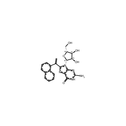 C=C(c1cccc2ccccc12)c1nc2c(=O)[nH]c(N)nc2n1[C@@H]1O[C@H](CO)[C@@H](O)[C@H]1O